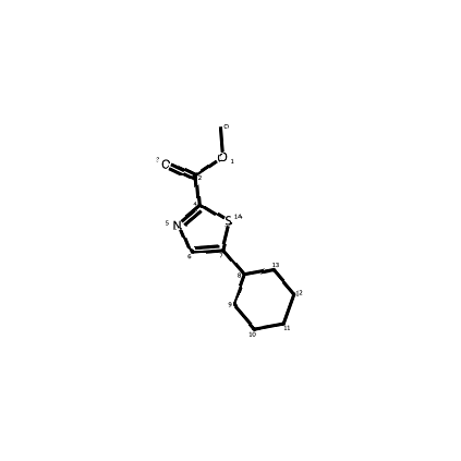 COC(=O)c1ncc(C2CCCCC2)s1